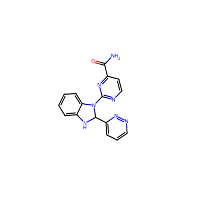 NC(=O)c1ccnc(N2c3ccccc3NC2c2cccnn2)n1